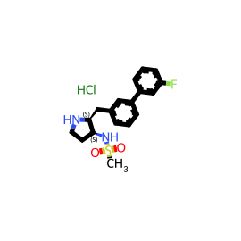 CS(=O)(=O)N[C@H]1CCN[C@H]1Cc1cccc(-c2cccc(F)c2)c1.Cl